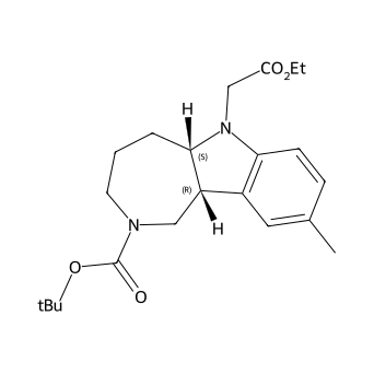 CCOC(=O)CN1c2ccc(C)cc2[C@@H]2CN(C(=O)OC(C)(C)C)CCC[C@@H]21